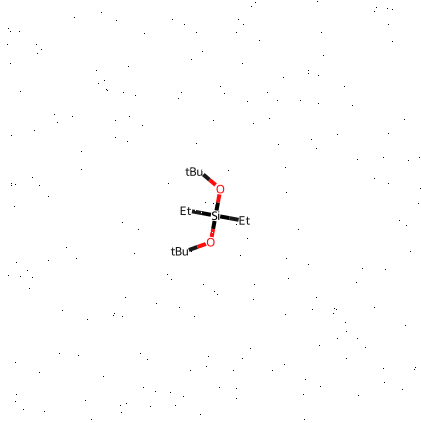 CC[Si](CC)(OC(C)(C)C)OC(C)(C)C